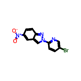 O=[N+]([O-])c1ccc2nn(-c3ccc(Br)cn3)cc2c1